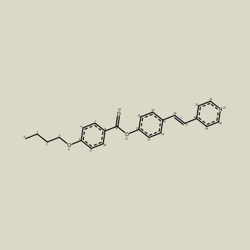 CCCCOc1ccc(C(=O)Oc2ccc(/C=C/c3ccncc3)cc2)cc1